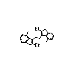 CCC1=C(CCC2=C(CC)[CH]c3cccc(C)c32)c2c(C)cccc2[CH]1